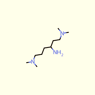 CN(C)CCCC(N)CCN(C)C